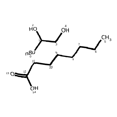 CCCCC(O)CO.CCCCCCCC(=O)O